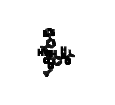 CC(C)C(=O)Nc1ccc(OCC2CC2)c(C(=O)NNC(C)c2cccc(-c3nccs3)c2)c1